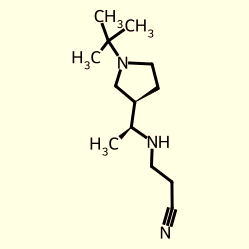 C[C@H](NCCC#N)[C@@H]1CCN(C(C)(C)C)C1